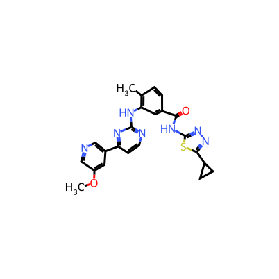 COc1cncc(-c2ccnc(Nc3cc(C(=O)Nc4nnc(C5CC5)s4)ccc3C)n2)c1